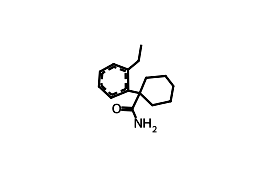 CCc1ccccc1C1(C(N)=O)CCCCC1